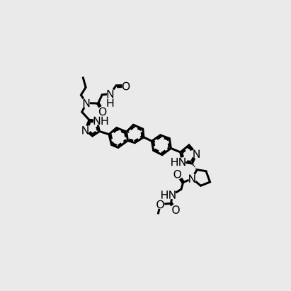 CCCN(Cc1ncc(-c2ccc3cc(-c4ccc(-c5cnc([C@@H]6CCCN6C(=O)CNC(=O)OC)[nH]5)cc4)ccc3c2)[nH]1)C(=O)CNC=O